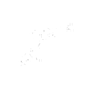 COc1cc(S(C)(=O)=O)ccc1NCC#Cc1cc2c(N[C@H]3CC[C@H](N(C)C)CC3)cccc2n1C1COC1